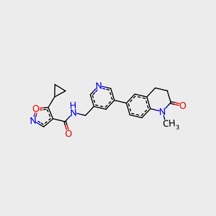 CN1C(=O)CCc2cc(-c3cncc(CNC(=O)c4cnoc4C4CC4)c3)ccc21